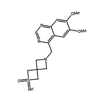 COc1cc2ncnc(CN3CC4(C3)CS(=N)(=O)C4)c2cc1OC